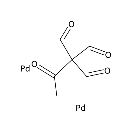 CC(=O)C(C=O)(C=O)C=O.[Pd].[Pd]